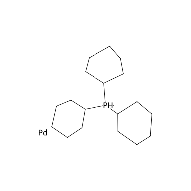 C1CCC([PH](C2CCCCC2)C2CCCCC2)CC1.[Pd]